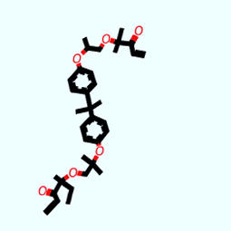 C=CC(=O)C(C)(C)OCC(C)Oc1ccc(C(C)(C)c2ccc(OC(C)(C)COC(C)(CC)C(=O)C=C)cc2)cc1